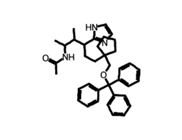 CC(=O)NC(C)C(C)C(CCC1(COC(c2ccccc2)(c2ccccc2)c2ccccc2)CCCC1)c1ncc[nH]1